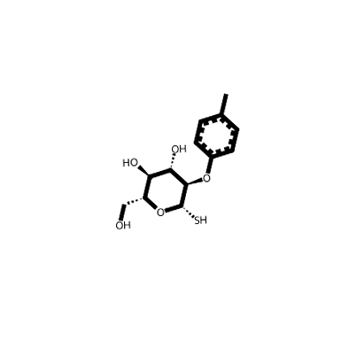 Cc1ccc(O[C@@H]2[C@@H](O)[C@H](O)[C@@H](CO)O[C@H]2S)cc1